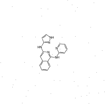 c1ccc(Nc2nc(Nc3cc[nH]n3)cc3ccccc23)nc1